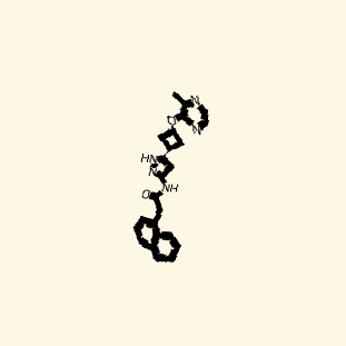 Cc1nccnc1O[C@H]1C[C@@H](c2cc(NC(=O)Cc3cccc4ccccc34)n[nH]2)C1